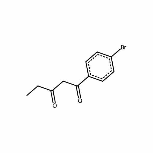 CCC(=O)CC(=O)c1ccc(Br)cc1